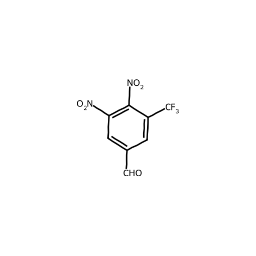 O=Cc1cc([N+](=O)[O-])c([N+](=O)[O-])c(C(F)(F)F)c1